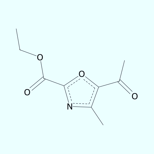 CCOC(=O)c1nc(C)c(C(C)=O)o1